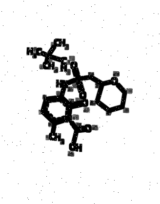 CC(C)(C)C.Cc1ccc(NS(=O)(=O)CC2CCCCO2)c(=O)n1C(=O)O